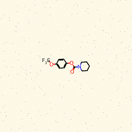 O=C(Oc1ccc(OC(F)(F)F)cc1)N1CCCCC1